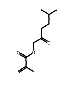 C=C(C)C(=O)OCC(=O)CCC(C)C